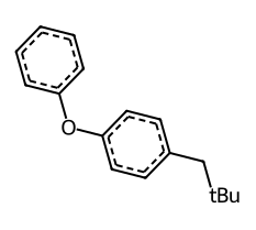 CC(C)(C)Cc1ccc(Oc2ccccc2)cc1